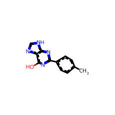 Cc1ccc(-c2nc(O)c3nc[nH]c3n2)cc1